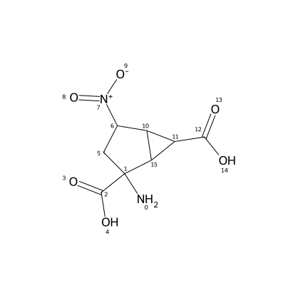 NC1(C(=O)O)CC([N+](=O)[O-])C2C(C(=O)O)C21